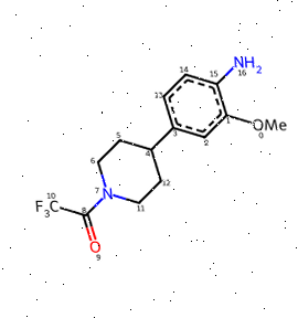 COc1cc(C2CCN(C(=O)C(F)(F)F)CC2)ccc1N